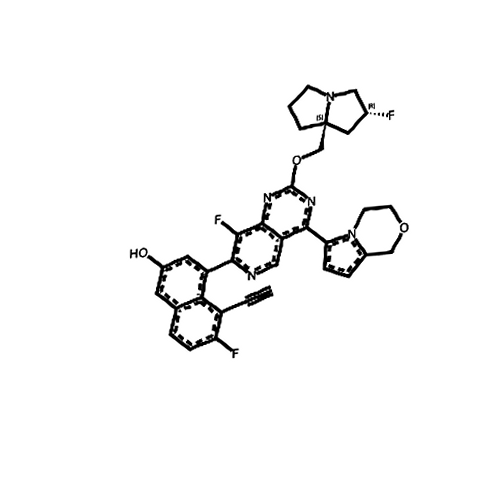 C#Cc1c(F)ccc2cc(O)cc(-c3ncc4c(-c5ccc6n5CCOC6)nc(OC[C@@]56CCCN5C[C@H](F)C6)nc4c3F)c12